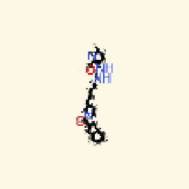 Cc1ccc(NC(=O)NCCCCCC2CCN(C(=O)C3=Cc4ccccc4C3)C2)c(C)n1